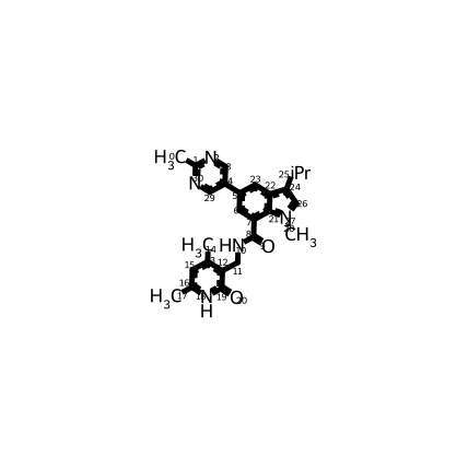 Cc1ncc(-c2cc(C(=O)NCc3c(C)cc(C)[nH]c3=O)c3c(c2)c(C(C)C)cn3C)cn1